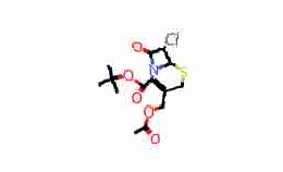 CC(=O)OCC1=C(C(=O)OC(C)(C)C)N2C(=O)[C@@H](Cl)C2SC1